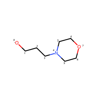 [O]CCCN1[CH]COCC1